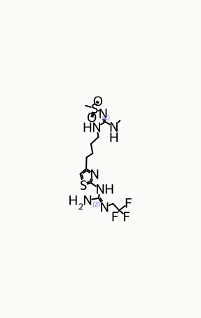 CN/C(=N/S(C)(=O)=O)NCCCCc1csc(N/C(N)=N\CC(F)(F)F)n1